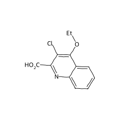 CCOc1c(Cl)c(C(=O)O)nc2ccccc12